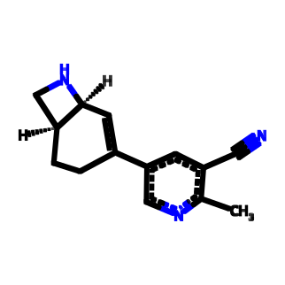 Cc1ncc(C2=C[C@@H]3NC[C@@H]3CC2)cc1C#N